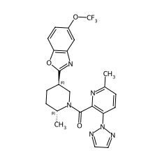 Cc1ccc(-n2nccn2)c(C(=O)N2C[C@H](c3nc4cc(OC(F)(F)F)ccc4o3)CC[C@H]2C)n1